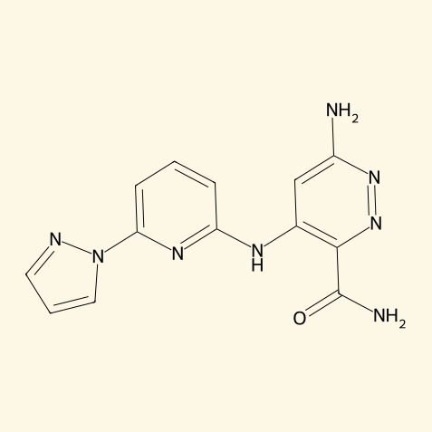 NC(=O)c1nnc(N)cc1Nc1cccc(-n2cccn2)n1